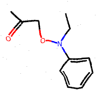 CCN(OCC(C)=O)c1ccccc1